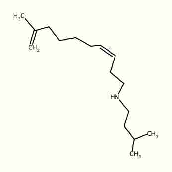 C=C(C)CCCC/C=C\CCNCCC(C)C